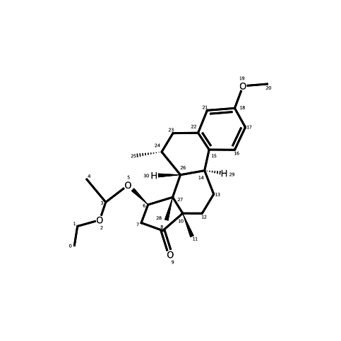 CCOC(C)O[C@@H]1CC(=O)[C@@]2(C)CC[C@@H]3c4ccc(OC)cc4C[C@@H](C)[C@H]3[C@@]12C